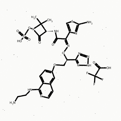 CC1(C)[C@H](NC(=O)/C(=N\O[C@H](COc2ccc3c(NCCN)nccc3c2)c2nn[nH]n2)c2csc(N)n2)C(=O)N1OS(=O)(=O)O.O=C(O)C(F)(F)F